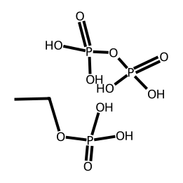 CCOP(=O)(O)O.O=P(O)(O)OP(=O)(O)O